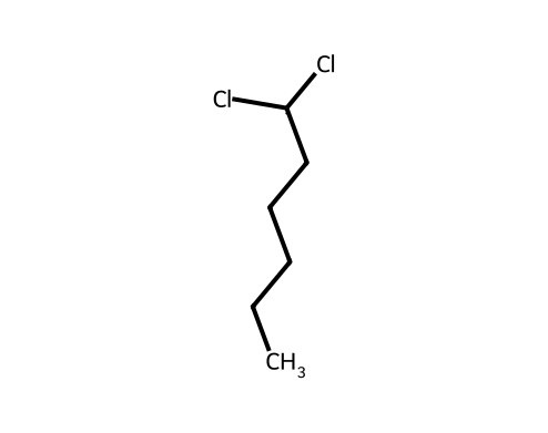 CCCCC[C](Cl)Cl